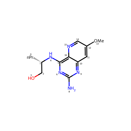 CCC[C@@H](CO)Nc1nc(N)nc2cc(OC)cnc12